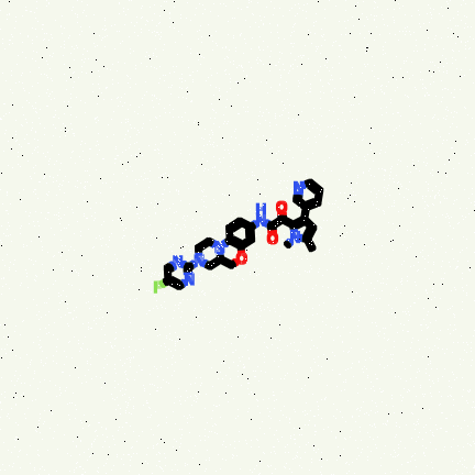 Cc1cc(-c2cccnc2)c(C(=O)C(=O)Nc2ccc3c(c2)OCC2CN(c4ncc(F)cn4)CCN32)n1C